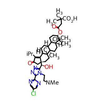 CNCCn1c(-c2ncc(Cl)cn2)nnc1[C@H](O)[C@@]12CC[C@]3(C)[C@H](CC[C@@H]4[C@@]5(C)CC[C@H](OC(=O)CC(C)(C)C(=O)O)C(C)(C)[C@@H]5CC[C@]43C)C1=C(C(C)C)C(=O)C2